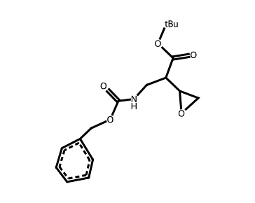 CC(C)(C)OC(=O)C(CNC(=O)OCc1ccccc1)C1CO1